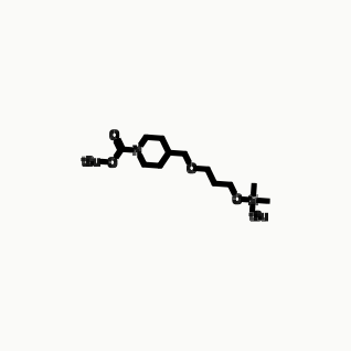 CC(C)(C)OC(=O)N1CCC(COCCCO[Si](C)(C)C(C)(C)C)CC1